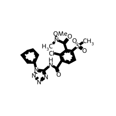 CON(C)C(=O)c1c(S(C)(=O)=O)ccc(C(=O)Nc2nnnn2-c2ccccc2)c1Cl